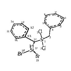 Cl[Si](Cl)(Cc1ccccc1)C(c1ccccc1)[SiH](Br)Br